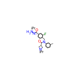 Cc1cccc(N(Cc2ccc(/C(=N/N)OC(C)C)cc2F)C(=O)C2CN(C(C)C)C2)c1